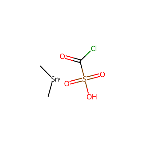 O=C(Cl)S(=O)(=O)O.[CH3][Sn][CH3]